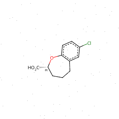 O=C(O)[C@H]1CCCc2cc(Cl)ccc2O1